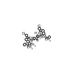 COc1c(CON(C)c2ccccc2)cc2ccc3c4cc(Cl)ccc4n(C)c3c2c1N=Nc1ccc2c(c1)C(=O)c1cc(N=Nc3c(OC)c(C(=O)N(C)c4ccccc4)cc4ccc5c6cc(Cl)ccc6n(C)c5c34)ccc1-2